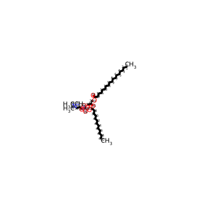 CCCCCCCCCCCCCCCCCCC(=O)OC[C@H](COP(=O)(O)OCC[N+](C)(C)C)OC(=O)CCCCCCCCCCCCC